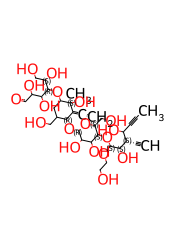 C#C[C@@H](C(O)C#CC)[C@H](O)[C@@H](OCCO)O[C@H]1C(O)C(O)[C@H](O[C@H]2C(=C=C)[C@](C)(O)C(O[C@@H](C(O)C(O)C=O)[C@@H](O)CO)CC2CO)O[C@H]1CO